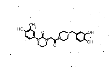 Cc1cc(N2CCCN(CC(=O)N3CCN(Cc4ccc(O)c(O)c4)CC3)C2=O)ccc1O